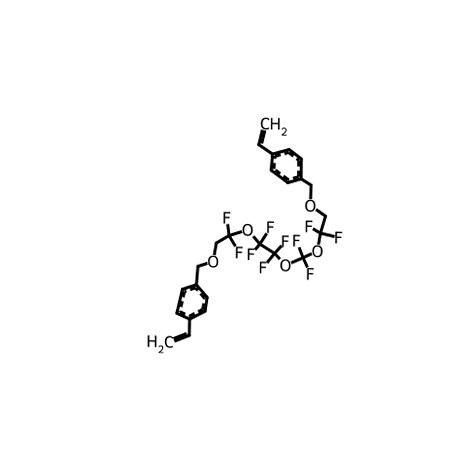 C=Cc1ccc(COCC(F)(F)OC(F)(F)OC(F)(F)C(F)(F)OC(F)(F)COCc2ccc(C=C)cc2)cc1